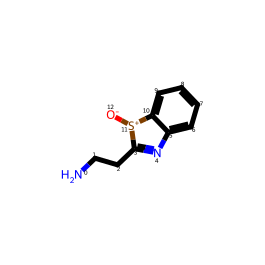 NCCc1nc2ccccc2[s+]1[O-]